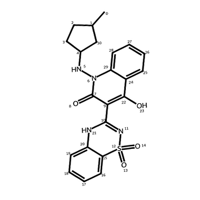 CC1CCC(Nn2c(=O)c(C3=NS(=O)(=O)c4ccccc4N3)c(O)c3ccccc32)C1